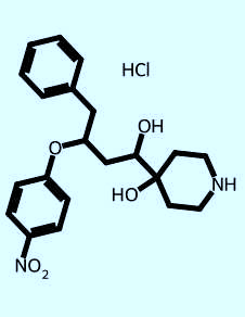 Cl.O=[N+]([O-])c1ccc(OC(Cc2ccccc2)CC(O)C2(O)CCNCC2)cc1